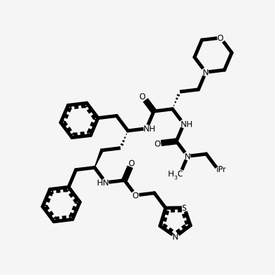 CC(C)CN(C)C(=O)N[C@@H](CCN1CCOCC1)C(=O)N[C@H](CC[C@H](Cc1ccccc1)NC(=O)OCc1cncs1)Cc1ccccc1